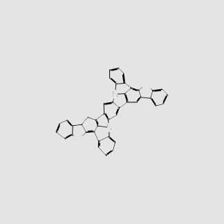 c1ccc2c(c1)OC1=c3c4ccccc4n4c3c(c3cc5c(cc34)c3cc4c6ccccc6oc4c4c6ccccc6n5c34)CC12